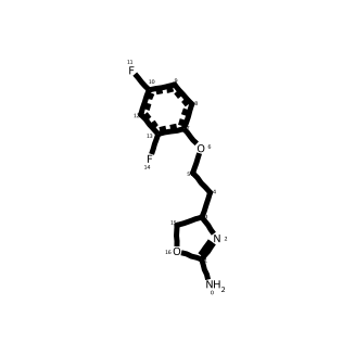 NC1=NC(CCOc2ccc(F)cc2F)CO1